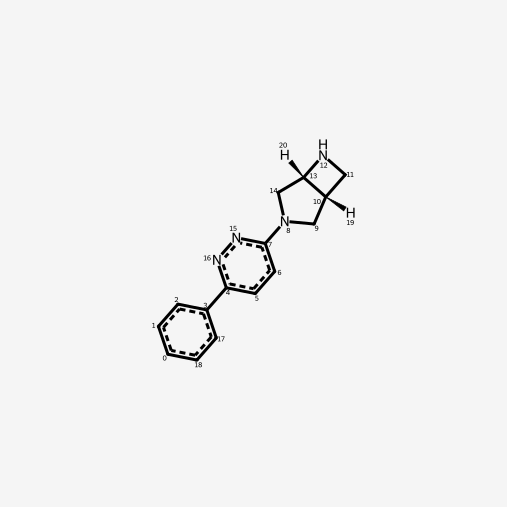 c1ccc(-c2ccc(N3C[C@H]4CN[C@H]4C3)nn2)cc1